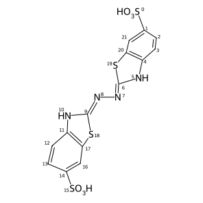 O=S(=O)(O)c1ccc2[nH]c(=NN=c3[nH]c4ccc(S(=O)(=O)O)cc4s3)sc2c1